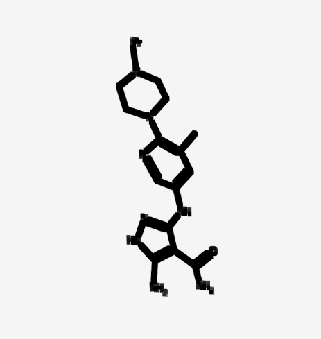 Cc1cc(Nc2n[nH]c(N)c2C(N)=O)cnc1N1CCN(C(C)C)CC1